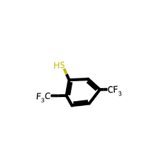 FC(F)(F)c1ccc(C(F)(F)F)c(S)c1